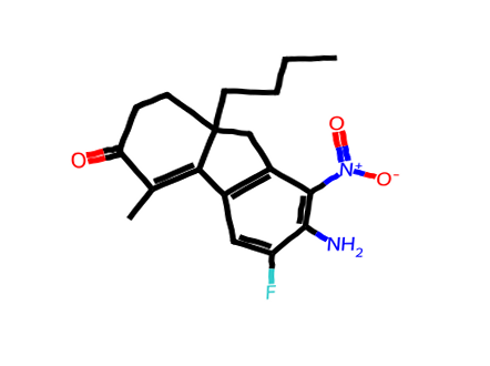 CCCCC12CCC(=O)C(C)=C1c1cc(F)c(N)c([N+](=O)[O-])c1C2